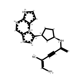 C=C(C#C/C(C#N)=C\N)N[C@@H]1CC[C@H](c2nnc3cnc4[nH]ccc4n23)C1